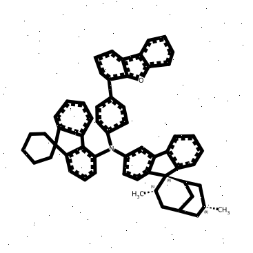 C[C@@H]1CC2CC(C1)[C@@]1(c3ccccc3-c3cc(N(c4ccc(-c5cccc6c5oc5ccccc56)cc4)c4cccc5c4-c4ccccc4C54CCCCC4)ccc31)[C@@H](C)C2